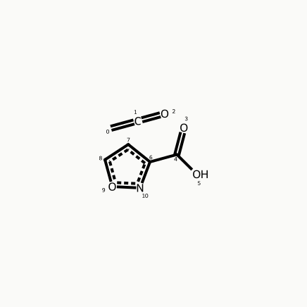 C=C=O.O=C(O)c1ccon1